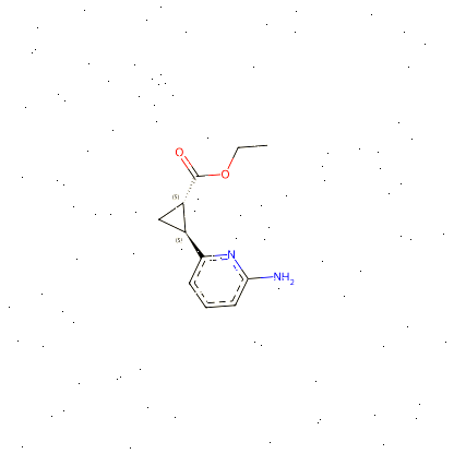 CCOC(=O)[C@H]1C[C@@H]1c1cccc(N)n1